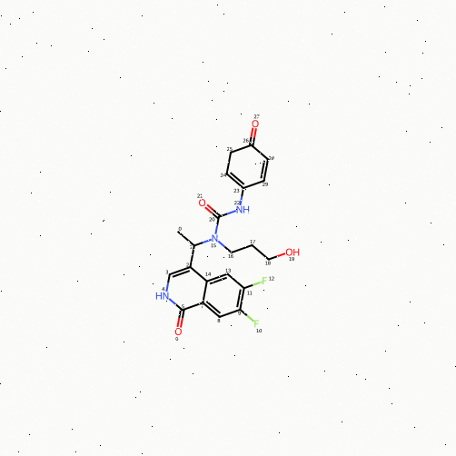 CC(c1c[nH]c(=O)c2cc(F)c(F)cc12)N(CCCO)C(=O)NC1=CCC(=O)C=C1